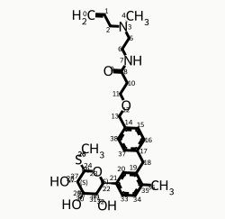 C=CCN(C)CCNC(=O)CCOCc1ccc(Cc2cc([C@@H]3O[C@H](SC)[C@@H](O)[C@H](O)[C@H]3O)ccc2C)cc1